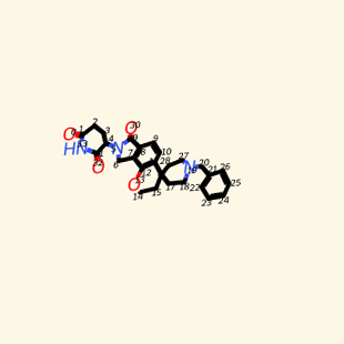 O=C1CCC(N2Cc3c(ccc4c3OCCC43CCN(Cc4ccccc4)CC3)C2=O)C(=O)N1